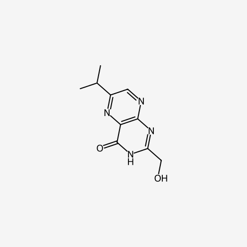 CC(C)c1cnc2nc(CO)[nH]c(=O)c2n1